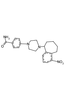 NC(=O)c1ccc(N2CCN(C3CCCCc4c3cccc4[N+](=O)[O-])CC2)cc1